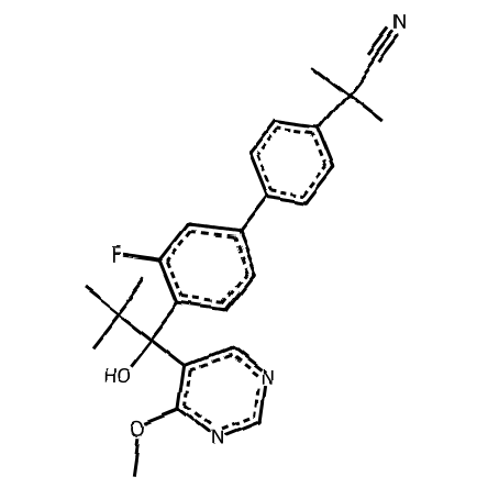 COc1ncncc1C(O)(c1ccc(-c2ccc(C(C)(C)C#N)cc2)cc1F)C(C)(C)C